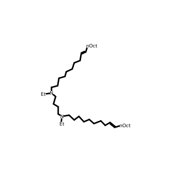 CCCCCCCCC=CCCCCCCCCN(CC)CCCCN(CC)CCCCCCCCC=CCCCCCCCC